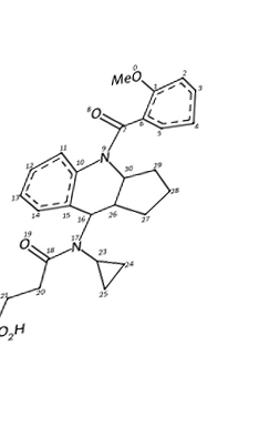 COc1ccccc1C(=O)N1c2ccccc2C(N(C(=O)CCC(=O)O)C2CC2)C2CCCC21